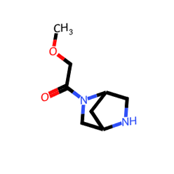 COCC(=O)N1CC2CC1CN2